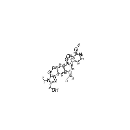 CCn1c(CO)nn(-c2cc3c(C(C)C)cn(-c4ccnc(OC)c4Cl)c(=O)c3cc2F)c1=O